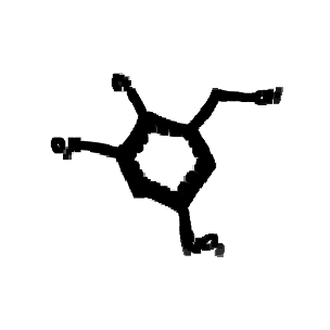 CCc1c(CO)cc([N+](=O)[O-])cc1[N+](=O)[O-]